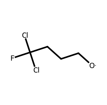 [O]CCCC(F)(Cl)Cl